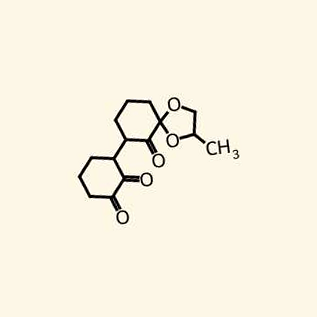 CC1COC2(CCCC(C3CCCC(=O)C3=O)C2=O)O1